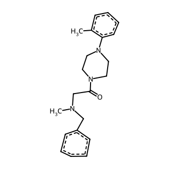 Cc1ccccc1N1CCN(C(=O)CN(C)Cc2ccccc2)CC1